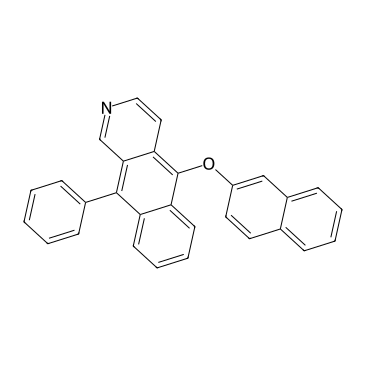 c1ccc(-c2c3ccccc3c(Oc3ccc4ccccc4c3)c3ccncc23)cc1